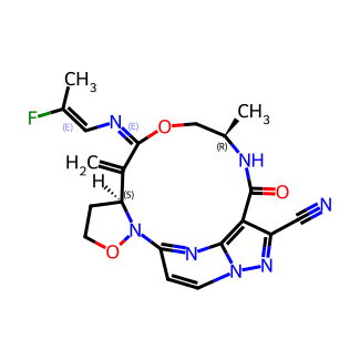 C=C1/C(=N\C=C(/C)F)OC[C@@H](C)NC(=O)c2c(C#N)nn3ccc(nc23)N2OCC[C@@H]12